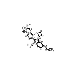 CC(C)S(=O)(=O)Nc1ccc(-c2c(N)c3ccc(OCC(F)(F)F)cc3n2C2CCC2)cc1